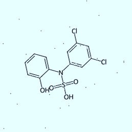 O=S(=O)(O)N(c1cc(Cl)cc(Cl)c1)c1ccccc1O